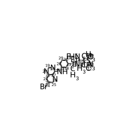 CC[C@](C)(NC(=N)C(C)(C)/[SH](=O)=N\C)c1cc(Nc2ncnc3cc(Br)cnc23)ccc1F